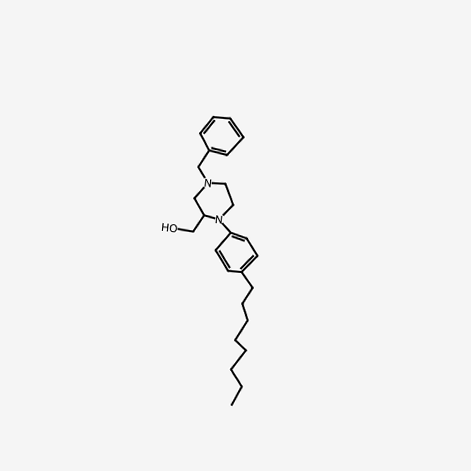 CCCCCCCCc1ccc(N2CCN(Cc3ccccc3)CC2CO)cc1